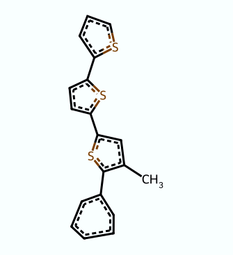 Cc1cc(-c2ccc(-c3cccs3)s2)sc1-c1ccccc1